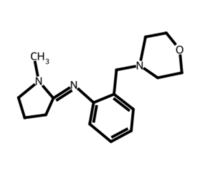 CN1CCCC1=Nc1ccccc1CN1CCOCC1